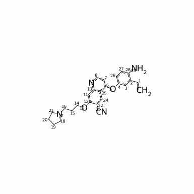 C=Cc1cc(Oc2ccnc3cc(OCCCN4CCCC4)c(C#N)cc23)ccc1N